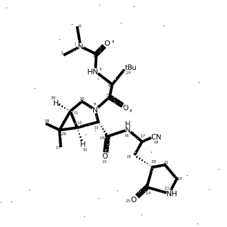 CN(C)C(=O)NC(C(=O)N1C[C@H]2[C@@H]([C@H]1C(=O)NC(C#N)C[C@@H]1CCNC1=O)C2(C)C)C(C)(C)C